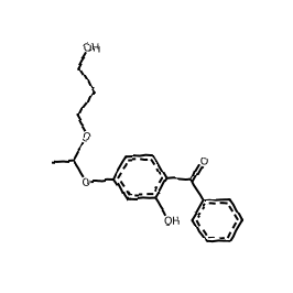 CC(OCCCO)Oc1ccc(C(=O)c2ccccc2)c(O)c1